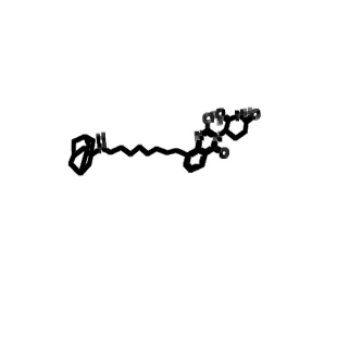 O=C1CCC(n2c(C(F)(F)F)nc3c(CCCCCCCCNC45CC6CC(CC(C6)C4)C5)cccc3c2=O)C(=O)N1